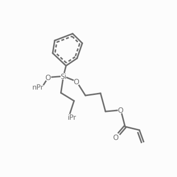 C=CC(=O)OCCCO[Si](CCC(C)C)(OCCC)c1ccccc1